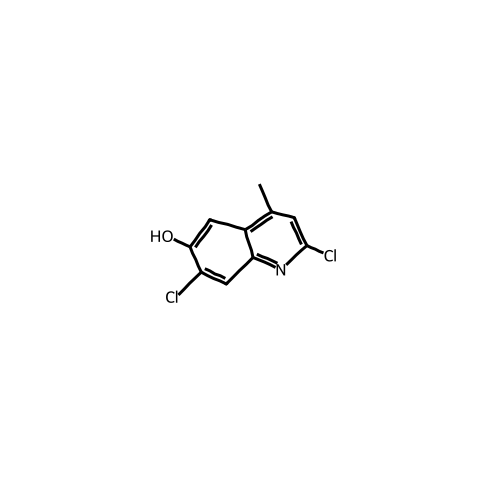 Cc1cc(Cl)nc2cc(Cl)c(O)cc12